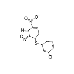 O=[N+]([O-])C1=CCC(SC2C=C(Cl)C=CC2)c2nonc21